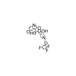 COc1ccc2ncc(Cl)c([C@H](O)CCC3(C(=O)O)CCN(CCOc4cc(F)cc(F)c4F)CC3)c2c1